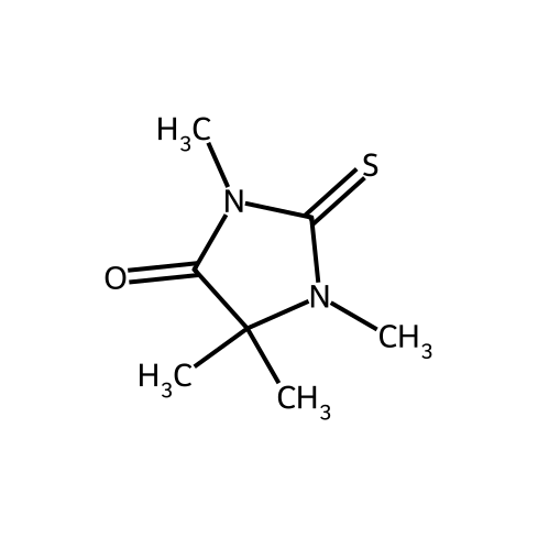 CN1C(=O)C(C)(C)N(C)C1=S